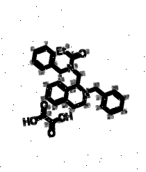 CCC(=O)N(Cc1ccccc1)CC1c2ccccc2CCN1Cc1ccccc1.O=C(O)C(=O)O